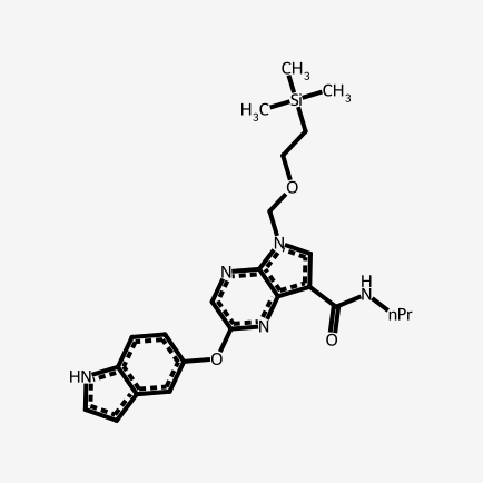 CCCNC(=O)c1cn(COCC[Si](C)(C)C)c2ncc(Oc3ccc4[nH]ccc4c3)nc12